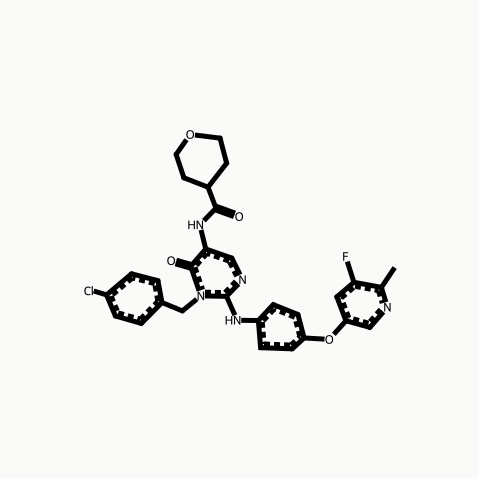 Cc1ncc(Oc2ccc(Nc3ncc(NC(=O)C4CCOCC4)c(=O)n3Cc3ccc(Cl)cc3)cc2)cc1F